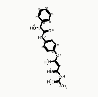 C=C(C)NC(=N)/C=C(\N)Oc1ccc(NC(=O)[C@H](O)c2ccccc2)cc1